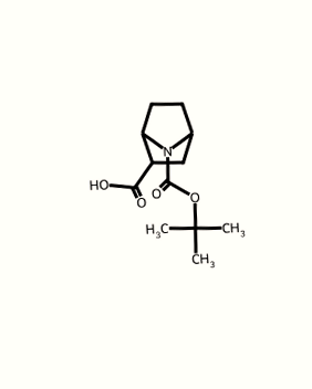 CC(C)(C)OC(=O)N1C2CCC1C(C(=O)O)C2